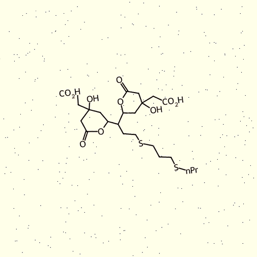 CCCSCCCSCCC(C1CC(O)(CC(=O)O)CC(=O)O1)C1CC(O)(CC(=O)O)CC(=O)O1